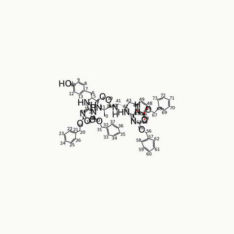 C[C@@H](NC(=O)[C@H](Cc1ccc(O)cc1)N/C(=N/C(=O)OCc1ccccc1)NC(=O)OCc1ccccc1)C(=O)NC[C@H](Cc1ccccc1)N/C(=N/C(=O)OCc1ccccc1)NC(=O)OCc1ccccc1